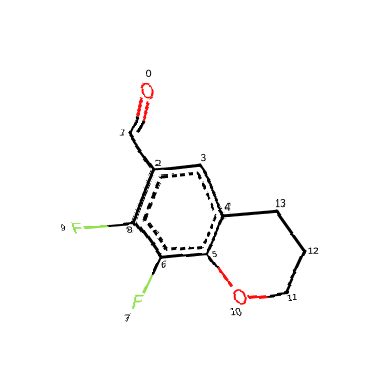 O=Cc1cc2c(c(F)c1F)OCCC2